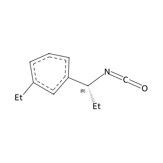 CCc1cccc([C@@H](CC)N=C=O)c1